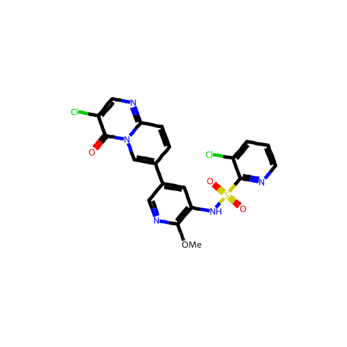 COc1ncc(-c2ccc3ncc(Cl)c(=O)n3c2)cc1NS(=O)(=O)c1ncccc1Cl